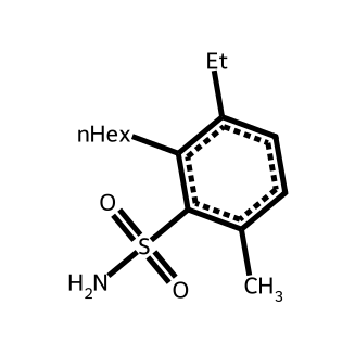 CCCCCCc1c(CC)ccc(C)c1S(N)(=O)=O